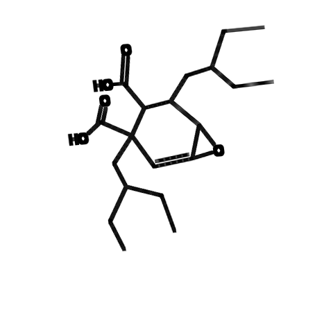 CCC(CC)CC1C2OC2=CC(CC(CC)CC)(C(=O)O)C1C(=O)O